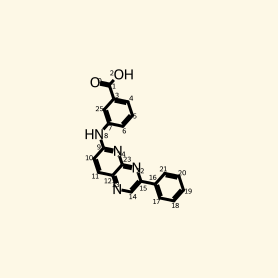 O=C(O)c1cccc(Nc2ccc3ncc(-c4ccccc4)nc3n2)c1